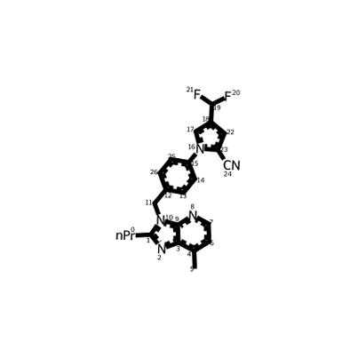 CCCc1nc2c(C)ccnc2n1Cc1ccc(-n2cc(C(F)F)cc2C#N)cc1